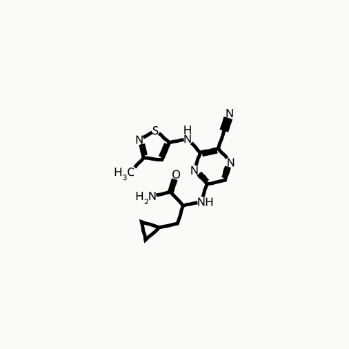 Cc1cc(Nc2nc(NC(CC3CC3)C(N)=O)cnc2C#N)sn1